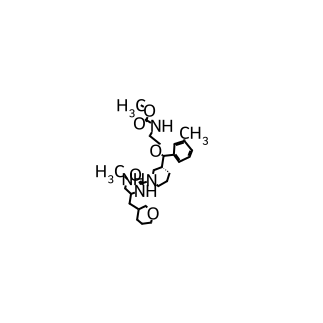 CNCC(CC1CCCOC1)NC(=O)N1CCC[C@@H]([C@@H](OCCNC(=O)OC)c2cccc(C)c2)C1